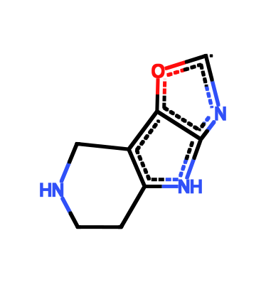 [c]1nc2[nH]c3c(c2o1)CNCC3